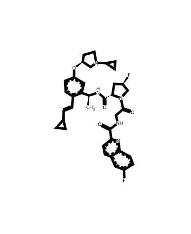 C[C@H](NC(=O)[C@@H]1C[C@@H](F)CN1C(=O)CNC(=O)c1ccc2cc(F)ccc2n1)c1cc(O[C@H]2CCN(C3CC3)C2)ccc1/C=C/C1CC1